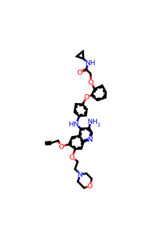 C#CCOc1cc2c(Nc3ccc(Oc4ccccc4OCC(=O)NC4CC4)cc3)c(N)cnc2cc1OCCN1CCOCC1